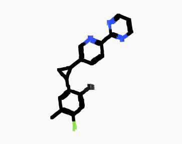 CCc1cc(F)c(C)cc1C1CC1c1ccc(-c2ncccn2)nc1